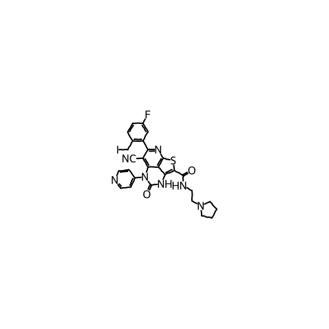 N#Cc1c(-c2cc(F)ccc2CI)nc2sc(C(=O)NCCN3CCCC3)c3c2c1N(c1ccncc1)C(=O)N3